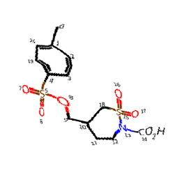 Cc1ccc(S(=O)(=O)OCC2CCN(C(=O)O)S(=O)(=O)C2)cc1